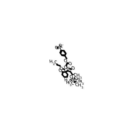 C=CCOC(=O)[C@@]1([C@@H]2[C@@H]([C@@H](C)O[Si](C)(C)C(C)(C)C)C(=O)N2CC(=O)OCc2ccc([N+](=O)[O-])cc2)CCCCC1=O